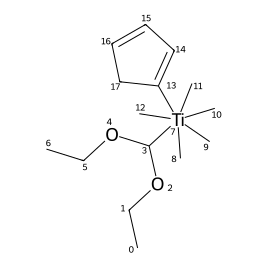 CCO[CH](OCC)[Ti]([CH3])([CH3])([CH3])([CH3])([CH3])[C]1=CC=CC1